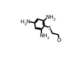 Nc1cc(N)c(SCC[O])c(N)c1